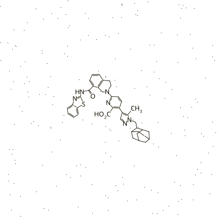 Cc1c(-c2ccc(N3CCc4cccc(C(=O)Nc5nc6ccccc6s5)c4C3)nc2C(=O)O)cnn1CC1C2CC3CC(C2)CC1C3